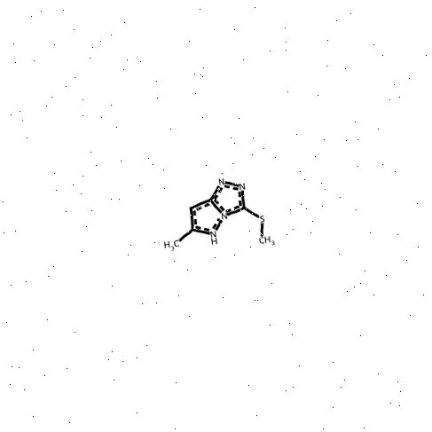 CSc1nnc2cc(C)[nH]n12